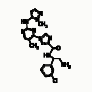 Cc1cnc(Nc2ccnn2C)nc1-n1cnc(C(=O)NC(CN)c2cccc(Cl)c2)c1